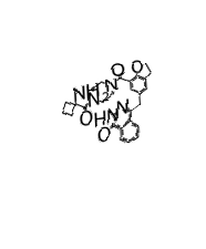 NC1(C(=O)N2CCN(C(=O)c3cc(Cc4n[nH]c(=O)c5ccccc45)cc4c3OCC4)CC2)CCC1